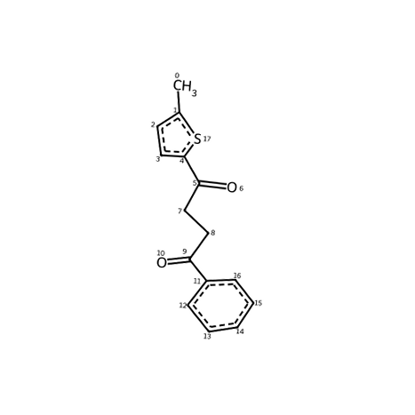 Cc1ccc(C(=O)CCC(=O)c2ccccc2)s1